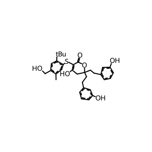 Cc1cc(SC2=C(O)CC(CCc3cccc(O)c3)(CCc3cccc(O)c3)OC2=O)c(C(C)(C)C)cc1CO